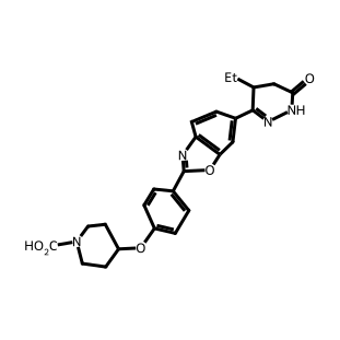 CCC1CC(=O)NN=C1c1ccc2nc(-c3ccc(OC4CCN(C(=O)O)CC4)cc3)oc2c1